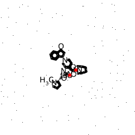 CN1CCC[C@H]1COc1nc2c(c(N3CC4CCC(C3)N4C(=O)OC(C)(C)C)n1)CCN(C1CC(=O)c3ccccc31)C2